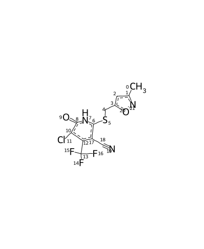 Cc1cc(CSc2[nH]c(=O)c(Cl)c(C(F)(F)F)c2C#N)on1